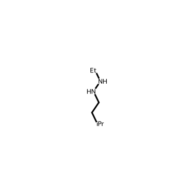 CCNNCCC(C)C